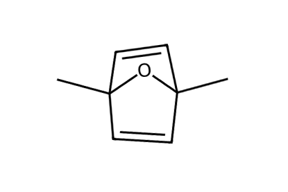 CC12C=CC(C)(C=C1)O2